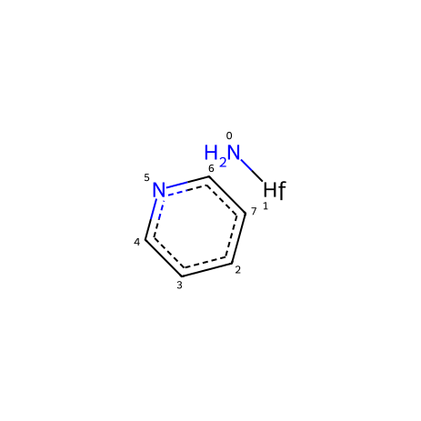 [NH2][Hf].c1ccncc1